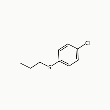 CCCSc1ccc(Cl)cc1